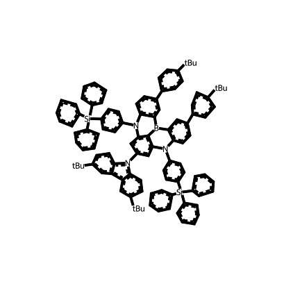 CC(C)(C)c1ccc(-c2ccc3c(c2)B2c4cc(-c5ccc(C(C)(C)C)cc5)ccc4N(c4ccc([Si](c5ccccc5)(c5ccccc5)c5ccccc5)cc4)c4cc(-n5c6ccc(C(C)(C)C)cc6c6cc(C(C)(C)C)ccc65)cc(c42)N3c2ccc([Si](c3ccccc3)(c3ccccc3)c3ccccc3)cc2)cc1